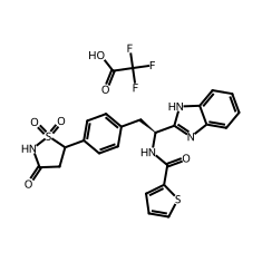 O=C(O)C(F)(F)F.O=C1CC(c2ccc(C[C@H](NC(=O)c3cccs3)c3nc4ccccc4[nH]3)cc2)S(=O)(=O)N1